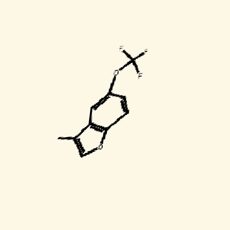 Cc1coc2ccc(OC(F)(F)F)cc12